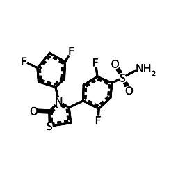 NS(=O)(=O)c1cc(F)c(-c2csc(=O)n2-c2cc(F)cc(F)c2)cc1F